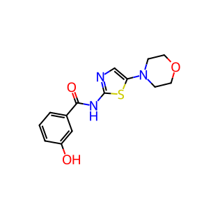 O=C(Nc1ncc(N2CCOCC2)s1)c1cccc(O)c1